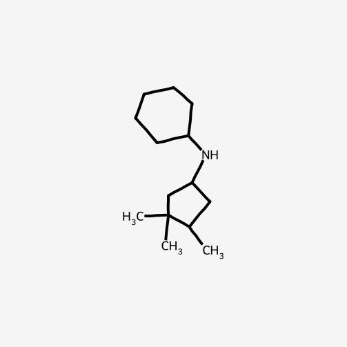 CC1CC(NC2CCCCC2)CC1(C)C